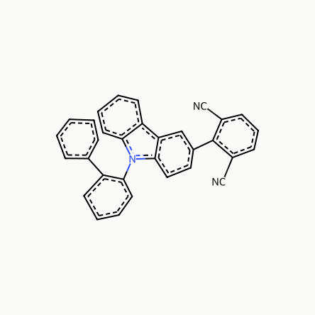 N#Cc1cccc(C#N)c1-c1ccc2c(c1)c1ccccc1n2-c1ccccc1-c1ccccc1